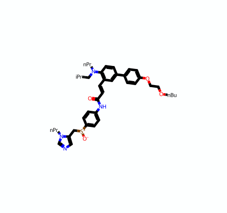 CCCCOCCOc1ccc(-c2ccc(N(CCC)CC(C)C)c(C=CC(=O)Nc3ccc([S+]([O-])Cc4cncn4CCC)cc3)c2)cc1